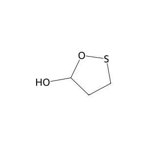 OC1CCSO1